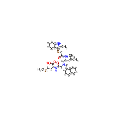 CSCCC(NC(=O)CN(Cc1cccc2ccccc12)CC(CC(C)C)NC(=O)CSc1c(C)[nH]c2ccccc12)C(=O)O